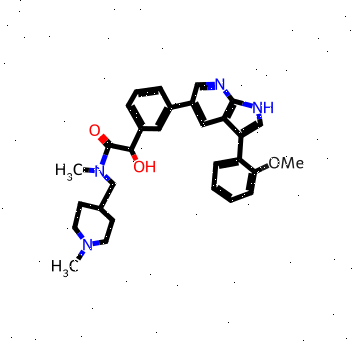 COc1ccccc1-c1c[nH]c2ncc(-c3cccc(C(O)C(=O)N(C)CC4CCN(C)CC4)c3)cc12